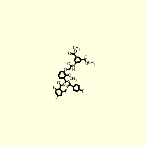 COC(=O)c1cc(NC(=O)COc2cccc(C3SC(c4ccc(F)cc4)=NN3C(=O)c3c(F)cc(F)cc3F)c2OC)cc(C(=O)OC)c1